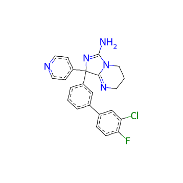 NC1=NC(c2ccncc2)(c2cccc(-c3ccc(F)c(Cl)c3)c2)C2=NCCCN12